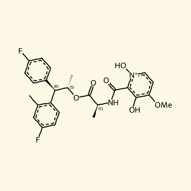 COc1cc[n+](O)c(C(=O)N[C@@H](C)C(=O)O[C@@H](C)[C@H](c2ccc(F)cc2)c2ccc(F)cc2C)c1O